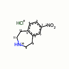 Cl.O=[N+]([O-])c1ccc2c(c1)CCNCC2